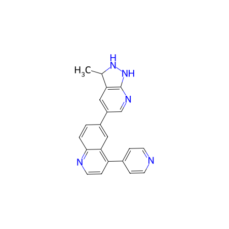 CC1NNc2ncc(-c3ccc4nccc(-c5ccncc5)c4c3)cc21